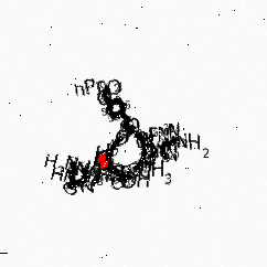 CCCC(=O)Oc1ccc(CSP2(=O)CO[C@H]3[C@@H](F)[C@H](n4cnc5c(N)ncnc54)O[C@@H]3[C@H](C)OP(=O)(O)O[C@@H]3[C@H](F)[C@@H](CO2)O[C@H]3n2cnc3c(=O)[nH]c(N)nc32)cc1